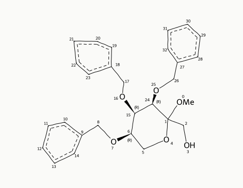 COC1(CO)OC[C@@H](OCc2ccccc2)[C@@H](OCc2ccccc2)[C@H]1OCc1ccccc1